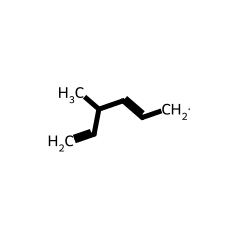 [CH2]C=CC(C)C=C